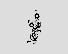 C=CCNC(=O)C1(C)COC(c2nc(-c3ccc(F)cc3)c(-c3ccnc(NCc4ccc(F)cc4)n3)[nH]2)OC1